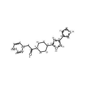 C=NN(/C=C\N)CC(=O)N1CCC(c2nc(-c3ccsc3)no2)CC1